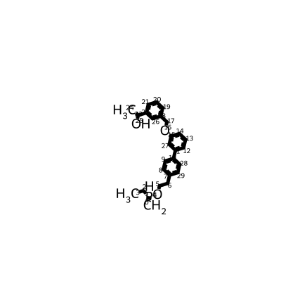 C=[PH](CC)OCCc1ccc(-c2cccc(OCc3cccc(C(C)O)c3)c2)cc1